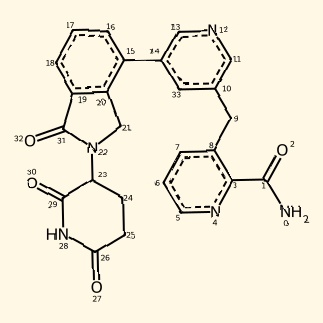 NC(=O)c1ncccc1Cc1cncc(-c2cccc3c2CN(C2CCC(=O)NC2=O)C3=O)c1